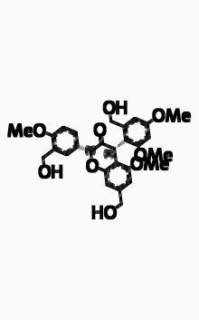 COc1cc(CO)c([C@H]2C(=O)[C@@H](c3ccc(OC)c(CO)c3)Oc3cc(CO)cc(OC)c32)c(OC)c1